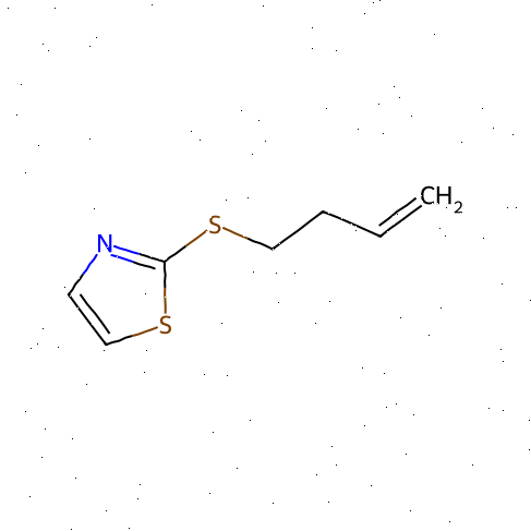 C=CCCSc1nccs1